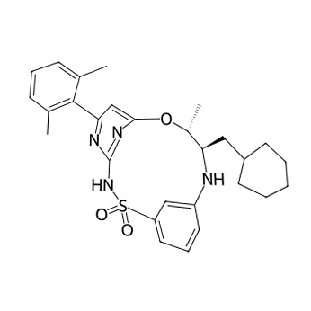 Cc1cccc(C)c1-c1cc2nc(n1)NS(=O)(=O)c1cccc(c1)N[C@H](CC1CCCCC1)[C@@H](C)O2